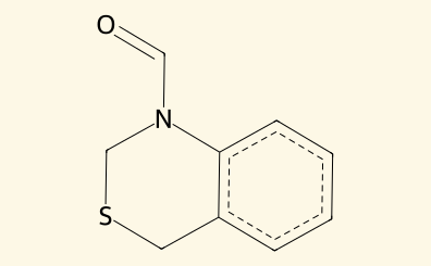 O=CN1CSCc2ccccc21